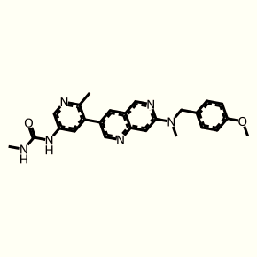 CNC(=O)Nc1cnc(C)c(-c2cnc3cc(N(C)Cc4ccc(OC)cc4)ncc3c2)c1